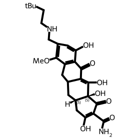 COc1c(CNCCC(C)(C)C)cc(O)c2c1CC1C[C@H]3CC(O)=C(C(N)=O)C(=O)[C@@]3(O)C(O)=C1C2=O